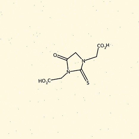 O=C(O)CN1CC(=O)N(CC(=O)O)C1=S